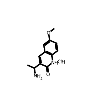 COc1ccc2[nH]c(=O)c(C(C)N)cc2c1.Cl